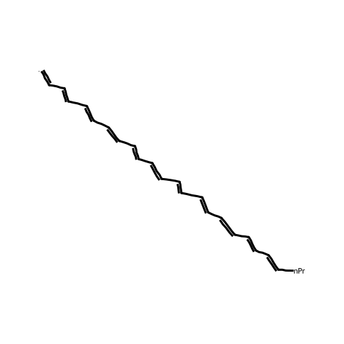 [CH]=C/C=C/C=C/C=C/C=C/C=C/C=C/C=C/C=C/C=C/C=C/CCC